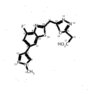 Cn1cc(-c2cc(F)c3nc(Cc4nnc(CC(=O)O)o4)sc3c2)cn1